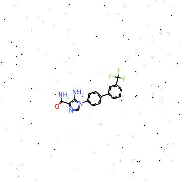 NC(=O)c1ncn(-c2ccc(-c3cccc(C(F)(F)F)c3)cc2)c1N